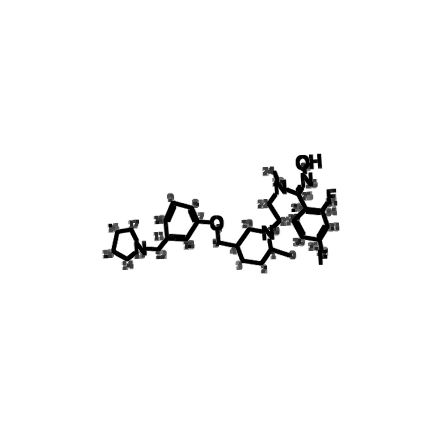 CC1CCC(COc2cccc(CN3CCCC3)c2)CN1CCN(C)/C(=N\O)c1ccc(F)cc1F